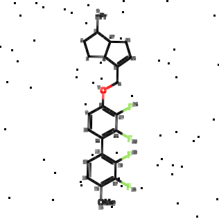 CCCC1CCC2C(COc3ccc(-c4ccc(OC)c(F)c4F)c(F)c3F)=CCC12